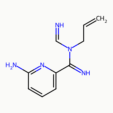 C=CCN(C=N)C(=N)c1cccc(N)n1